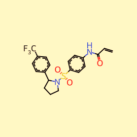 C=CC(=O)Nc1ccc(S(=O)(=O)N2CCCC2c2ccc(C(F)(F)F)cc2)cc1